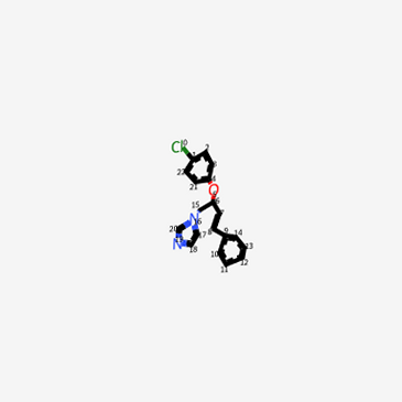 Clc1ccc(OC(/C=C/c2ccccc2)Cn2ccnc2)cc1